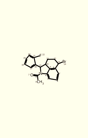 CC(=O)N1c2cccc3c2C(CCC3Br)C1c1ccccc1F